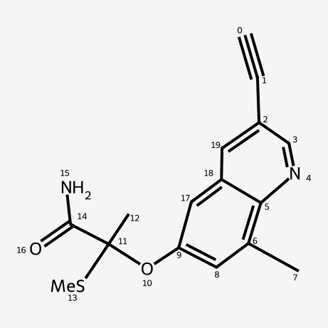 C#Cc1cnc2c(C)cc(OC(C)(SC)C(N)=O)cc2c1